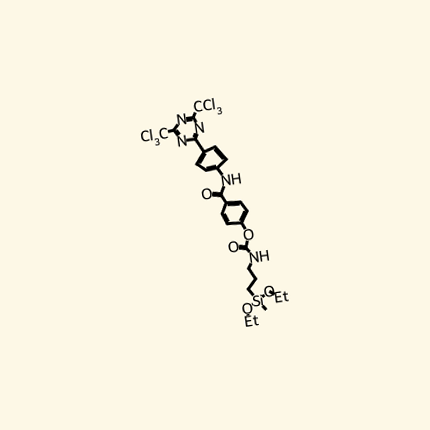 CCO[Si](C)(CCCNC(=O)Oc1ccc(C(=O)Nc2ccc(-c3nc(C(Cl)(Cl)Cl)nc(C(Cl)(Cl)Cl)n3)cc2)cc1)OCC